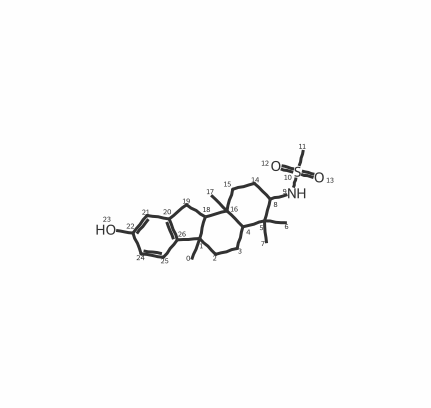 CC12CCC3C(C)(C)C(NS(C)(=O)=O)CCC3(C)C1Cc1cc(O)ccc12